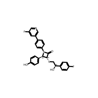 O=C1[C@H](SC[C@H](O)c2ccc(F)cc2)[C@@H](c2ccc(O)cc2)N1c1ccc(-c2cncc(F)c2)cc1